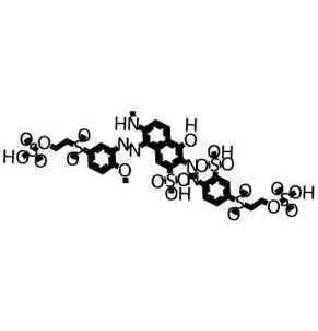 CNc1ccc2c(O)c(/N=N/c3ccc(S(=O)(=O)CCOS(=O)(=O)O)cc3S(=O)(=O)O)c(S(=O)(=O)O)cc2c1/N=N/c1cc(S(=O)(=O)CCOS(=O)(=O)O)ccc1OC